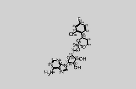 Nc1ncnc2c1ncn2[C@@H]1O[C@H](COP2(=S)OCCC(c3ccc(F)cc3Cl)O2)[C@@H](O)[C@H]1O